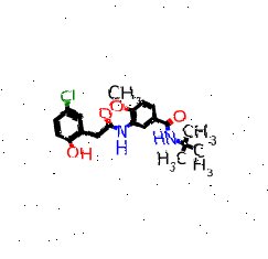 COc1ccc(C(=O)NC(C)(C)C)cc1NC(=O)Cc1cc(Cl)ccc1O